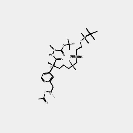 CC(=O)O[C@@H](C)Cc1cccc([C@@](C)(CCCC(C)(C)CS(=O)(=O)CCO[Si](C)(C)C(C)(C)C)C(=O)NN(C)C(=O)OC(C)(C)C)c1